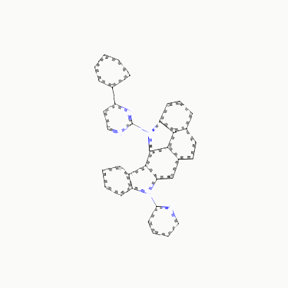 c1ccc(-c2ccnc(-n3c4cccc5ccc6cc7c(c8ccccc8n7-c7ccccn7)c3c6c54)n2)cc1